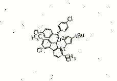 CCC1C=C(C(C)(C)C)C=[C]1[Zr+2](=[C](c1ccc(Cl)cc1)c1ccc(Cl)cc1)[CH]1c2cc(C)ccc2-c2ccc(C)cc21.[Cl-].[Cl-]